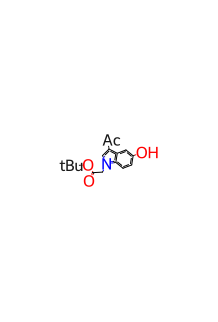 CC(=O)c1cn(CC(=O)OC(C)(C)C)c2ccc(O)cc12